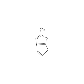 Nc1cc2c(o1)CC=C2